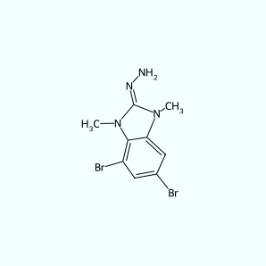 Cn1c(=NN)n(C)c2c(Br)cc(Br)cc21